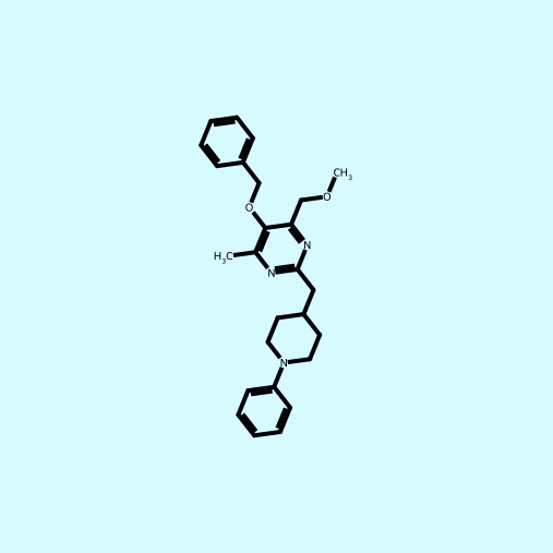 COCc1nc(CC2CCN(c3ccccc3)CC2)nc(C)c1OCc1ccccc1